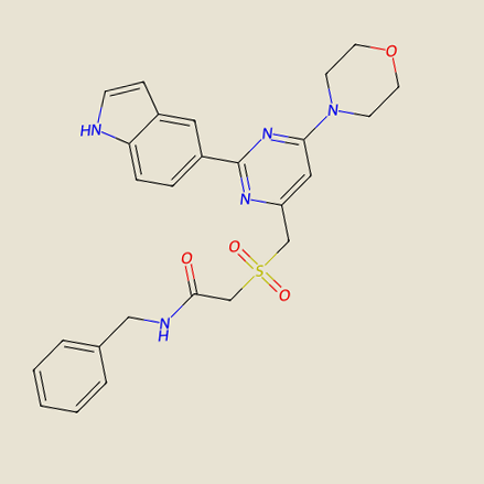 O=C(CS(=O)(=O)Cc1cc(N2CCOCC2)nc(-c2ccc3[nH]ccc3c2)n1)NCc1ccccc1